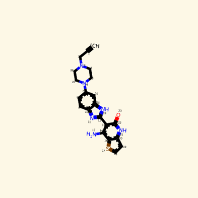 C#CCN1CCN(c2ccc3nc(-c4c(N)c5sccc5[nH]c4=O)[nH]c3c2)CC1